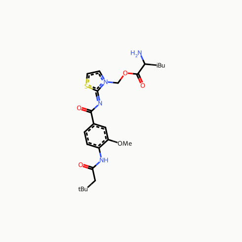 CCC(C)C(N)C(=O)OCn1ccsc1=NC(=O)c1ccc(NC(=O)CC(C)(C)C)c(OC)c1